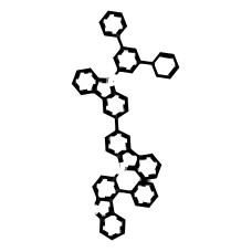 C1=CCC(c2cc(-c3ccccc3)cc(-n3c4ccccc4c4cc(-c5ccc6c(c5)c5ccccc5n6-c5ccc6sc7ccccc7c6c5-c5ccccc5)ccc43)c2)C=C1